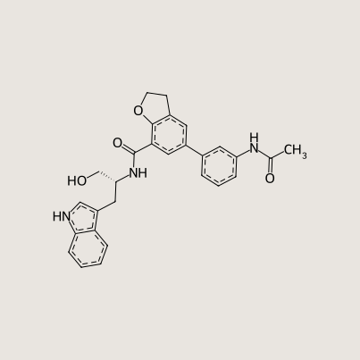 CC(=O)Nc1cccc(-c2cc3c(c(C(=O)N[C@@H](CO)Cc4c[nH]c5ccccc45)c2)OCC3)c1